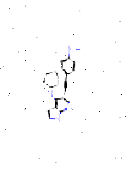 Nc1ccc(C#Cc2cnc3[nH]ccc3c2NC2CCCCC2)cc1